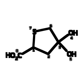 O=C(O)C1CC(O)(O)CS1